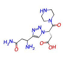 NC(=O)CC(N)c1cn([C@@H](CC(=O)O)C(=O)N2CCNCC2)nn1